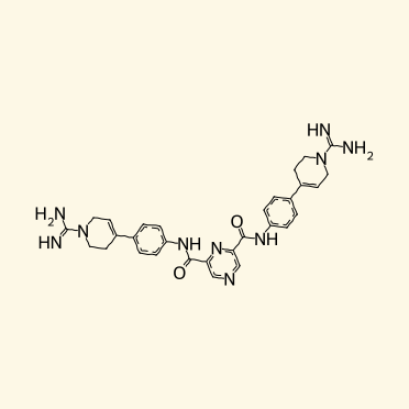 N=C(N)N1CC=C(c2ccc(NC(=O)c3cncc(C(=O)Nc4ccc(C5=CCN(C(=N)N)CC5)cc4)n3)cc2)CC1